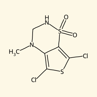 CN1CNS(=O)(=O)c2c(Cl)sc(Cl)c21